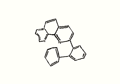 c1ccc(-c2ccccc2-c2ccc3ccc4cccnc4c3n2)cc1